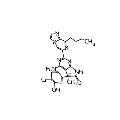 CCCCc1nc(-c2nc(N)c3c(n2)NC(=O)[C@@]3(C)c2ccc(Cl)c(O)c2)cn2ccnc12